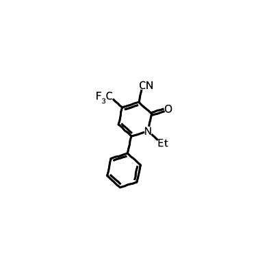 CCn1c(-c2ccccc2)cc(C(F)(F)F)c(C#N)c1=O